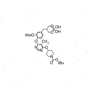 COc1cc(CC2COS(O)(O)OC2)ccc1Oc1ncnc(OC2CCN(C(=O)OC(C)(C)C)CC2)c1C